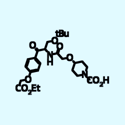 CCOC(=O)COc1ccc(C(=O)C(COC(C)(C)C)NC(=O)COC2CCN(C(=O)O)CC2)cc1